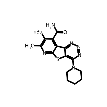 CCCCc1c(C)nc2sc3c(N4CCCCC4)nnnc3c2c1C(N)=O